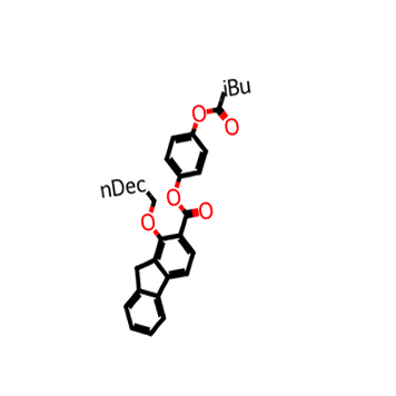 CCCCCCCCCCCOc1c(C(=O)Oc2ccc(OC(=O)C(C)CC)cc2)ccc2c1Cc1ccccc1-2